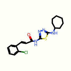 O=C(C=Cc1ccccc1Cl)Nc1nnc(NC2CCCCCC2)s1